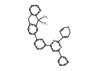 CC1(C)c2ccccc2Cc2ccc(-c3cccc(-c4cc(-c5ccccc5)nc(C5=CCCC=C5)n4)c3)cc21